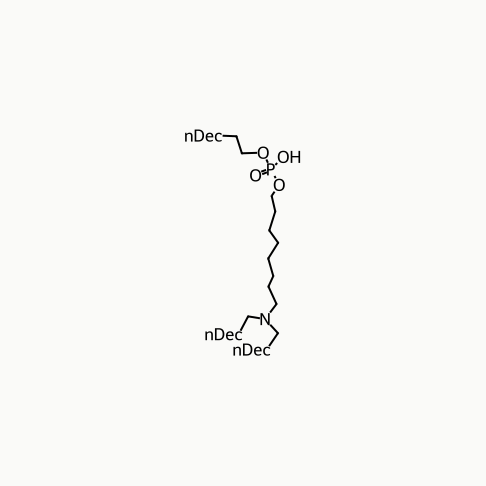 CCCCCCCCCCCCOP(=O)(O)OCCCCCCCCN(CCCCCCCCCCC)CCCCCCCCCCC